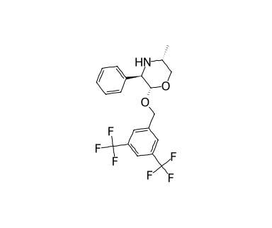 C[C@@H]1CO[C@H](OCc2cc(C(F)(F)F)cc(C(F)(F)F)c2)[C@@H](c2ccccc2)N1